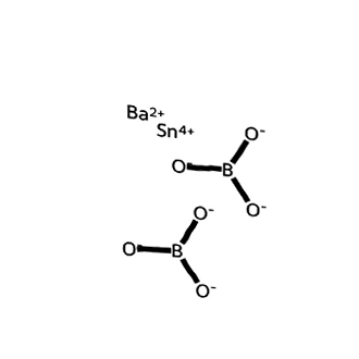 [Ba+2].[O-]B([O-])[O-].[O-]B([O-])[O-].[Sn+4]